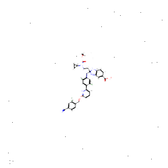 CC(C)(C)OC(=O)N(CCC1(Cc2cc(F)c(-c3cccc(OCc4ccc(C#N)cc4F)n3)cc2F)Nc2ccc(C(=O)O)cc2N1)C1CC1